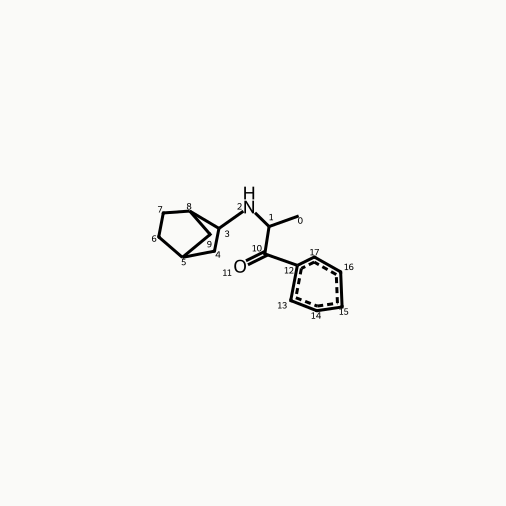 CC(NC1CC2CCC1C2)C(=O)c1ccccc1